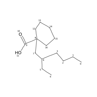 CCCCC(CC)CC1(C(=O)O)CCCCC1